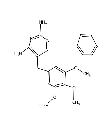 COc1cc(Cc2cnc(N)nc2N)cc(OC)c1OC.c1ccccc1